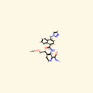 CCCOCCc1ccnc(C(N)=O)c1NC(=O)c1ccc(Cn2ccnn2)c2ccccc12